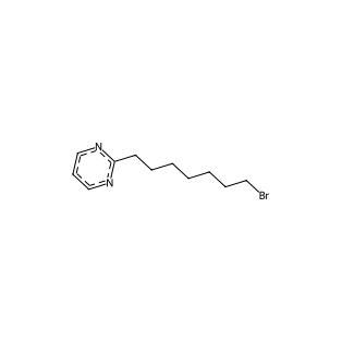 BrCCCCCCCc1ncccn1